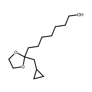 OCCCCCCCC1(CC2CC2)OCCO1